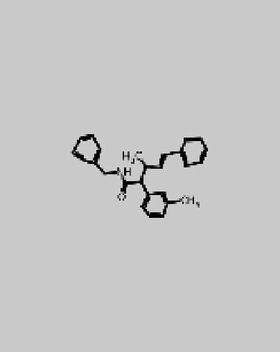 Cc1cccc(C(C(=O)NCc2ccccc2)C(C)/C=C/c2ccccc2)c1